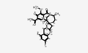 COc1c2n(cc(C(N)=O)c1=O)[C@@H]1CN(C2=O)[C@@H](C)CC[C@]12CC(=O)N(Cc1c(F)cc(F)cc1F)O2